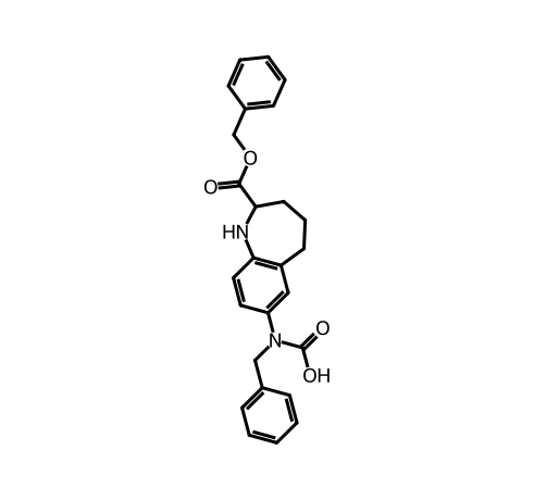 O=C(OCc1ccccc1)C1CCCc2cc(N(Cc3ccccc3)C(=O)O)ccc2N1